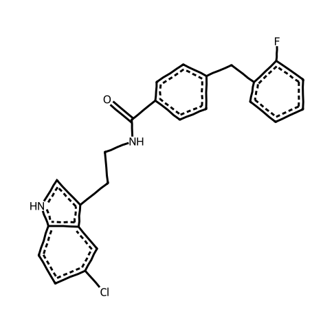 O=C(NCCc1c[nH]c2ccc(Cl)cc12)c1ccc(Cc2ccccc2F)cc1